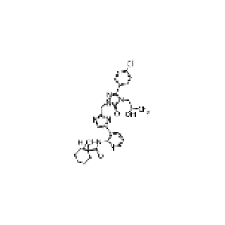 CC1(C(=O)Nc2ncccc2-n2cnc(Cn3nc(-c4ccc(Cl)cc4)n(C[C@H](O)C(F)(F)F)c3=O)n2)CCCCC1